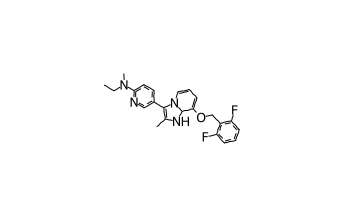 CCN(C)c1ccc(C2=C(C)NC3C(OCc4c(F)cccc4F)=CC=CN23)cn1